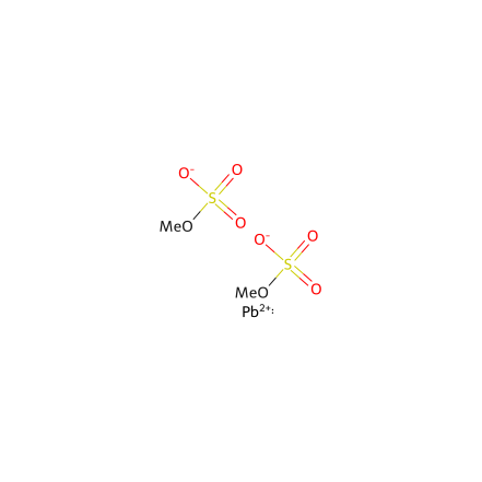 COS(=O)(=O)[O-].COS(=O)(=O)[O-].[Pb+2]